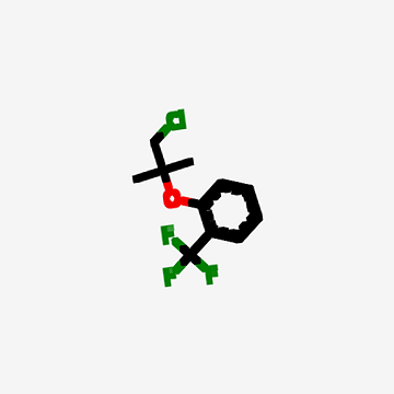 CC(C)(CCl)Oc1ccccc1C(F)(F)F